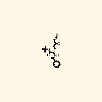 CC(C)(C)OC(=O)[C@H](CCC(=O)C=[N+]=[N-])NC(=O)c1cccnc1